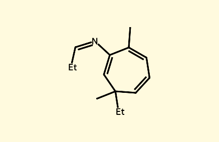 CC/C=N\C1=CC(C)(CC)C=CC=C1C